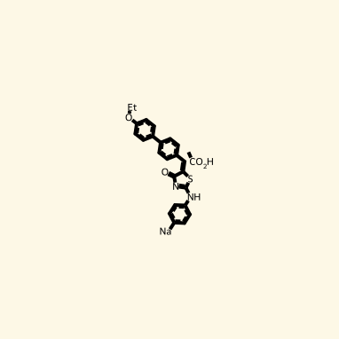 CC(=O)O.CCOc1ccc(-c2ccc(C=C3SC(Nc4cc[c]([Na])cc4)=NC3=O)cc2)cc1